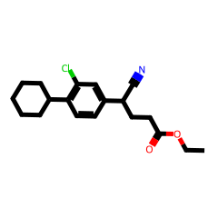 CCOC(=O)CCC(C#N)c1ccc(C2CCCCC2)c(Cl)c1